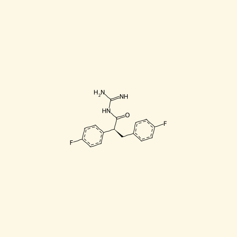 N=C(N)NC(=O)[C@@H](Cc1ccc(F)cc1)c1ccc(F)cc1